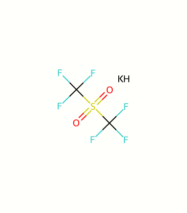 O=S(=O)(C(F)(F)F)C(F)(F)F.[KH]